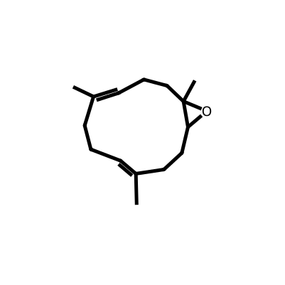 C/C1=C\CCC2(C)OC2CC/C(C)=C/CC1